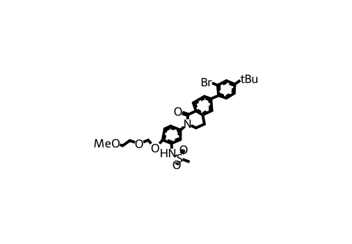 COCCOCOc1ccc(N2CCc3cc(-c4ccc(C(C)(C)C)cc4Br)ccc3C2=O)cc1NS(C)(=O)=O